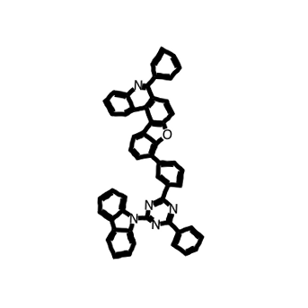 c1ccc(-c2nc(-c3cccc(-c4cccc5c4oc4ccc6c(-c7ccccc7)nc7ccccc7c6c45)c3)nc(-n3c4ccccc4c4ccccc43)n2)cc1